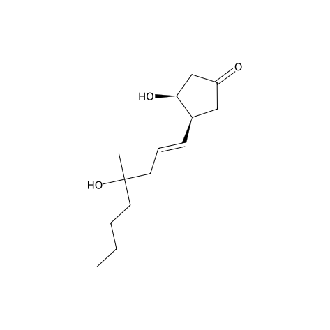 CCCCC(C)(O)C/C=C/[C@@H]1CC(=O)C[C@@H]1O